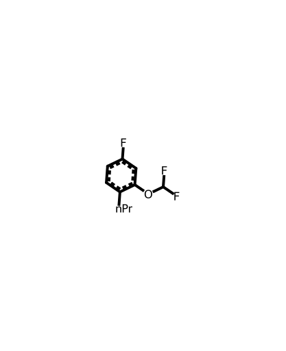 C[CH]Cc1ccc(F)cc1OC(F)F